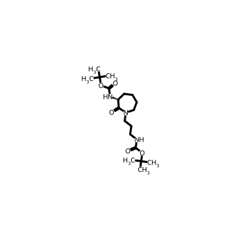 CC(C)(C)OC(=O)NCCCN1CCCC[C@H](NC(=O)OC(C)(C)C)C1=O